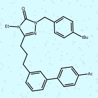 CCn1c(CCCc2cccc(-c3ccc(C(C)=O)cc3)c2)nn(Cc2ccc(C(C)(C)C)cc2)c1=O